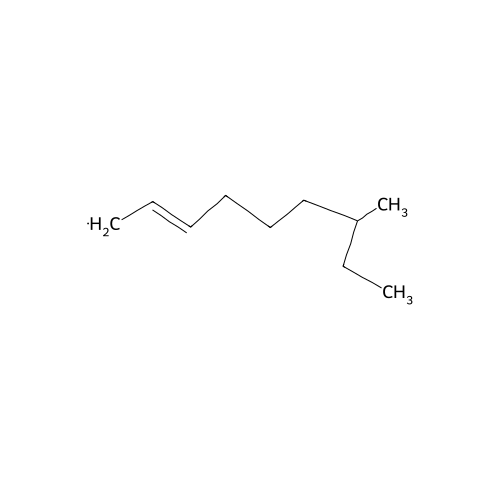 [CH2]C=CCCCC(C)CC